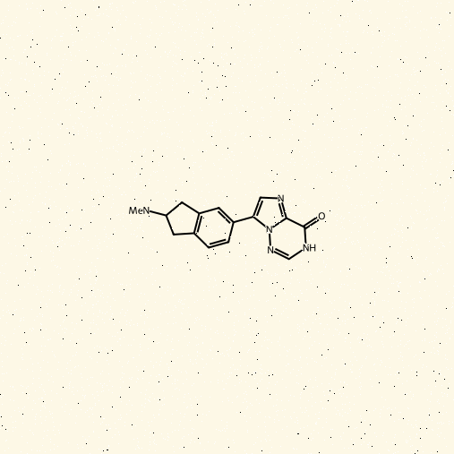 CNC1Cc2ccc(-c3cnc4c(=O)[nH]cnn34)cc2C1